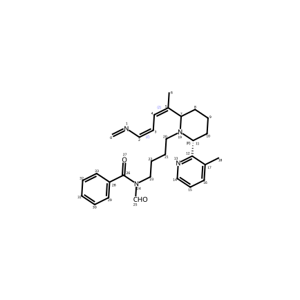 C=N/C=C\C=C(\C)C1CCC[C@H](c2ncccc2C)N1CCCCN(C=O)C(=O)c1ccccc1